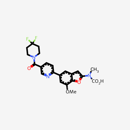 COc1cc(-c2ccc(C(=O)N3CCC(F)(F)CC3)cn2)cc2cc(N(C)C(=O)O)oc12